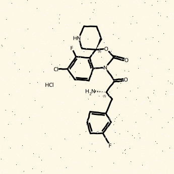 Cl.N[C@@H](Cc1cccc(F)c1)C(=O)N1C(=O)O[C@]2(CCCNC2)c2c1ccc(Cl)c2F